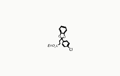 CCOC(=O)CCC1(c2ccc(Cl)cc2)Oc2ccccc2O1